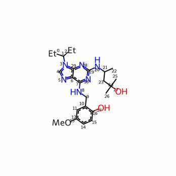 CCC(CC)n1cnc2c(NCc3cc(OC)ccc3O)nc(NC(C)CC(C)(C)O)nc21